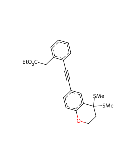 CCOC(=O)Cc1ccccc1C#Cc1ccc2c(c1)C(SC)(SC)CCO2